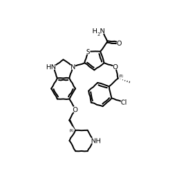 C[C@@H](Oc1cc(N2CNc3ccc(OC[C@@H]4CCCNC4)cc32)sc1C(N)=O)c1ccccc1Cl